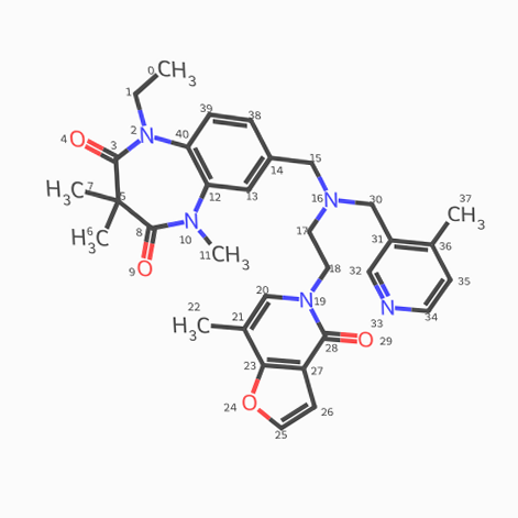 CCN1C(=O)C(C)(C)C(=O)N(C)c2cc(CN(CCn3cc(C)c4occc4c3=O)Cc3cnccc3C)ccc21